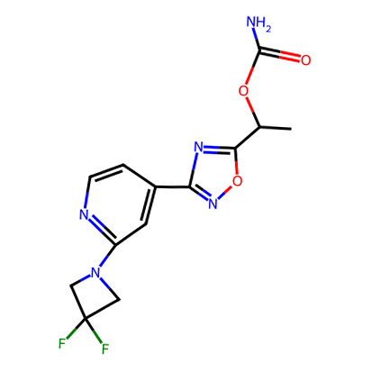 CC(OC(N)=O)c1nc(-c2ccnc(N3CC(F)(F)C3)c2)no1